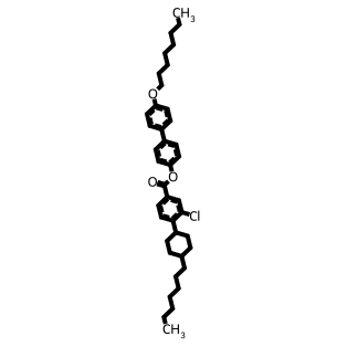 CCCCCCCCOc1ccc(-c2ccc(OC(=O)c3ccc(C4CCC(CCCCCCC)CC4)c(Cl)c3)cc2)cc1